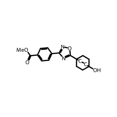 COC(=O)c1ccc(-c2noc(C34CCC(O)(CC3)CC4)n2)cc1